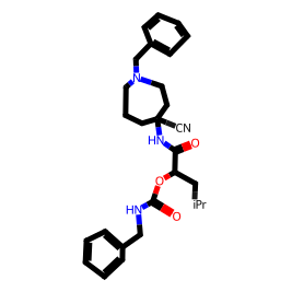 CC(C)CC(OC(=O)NCc1ccccc1)C(=O)NC1(C#N)CCCN(Cc2ccccc2)CC1